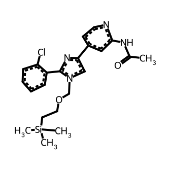 CC(=O)Nc1cc(-c2cn(COCC[Si](C)(C)C)c(-c3ccccc3Cl)n2)ccn1